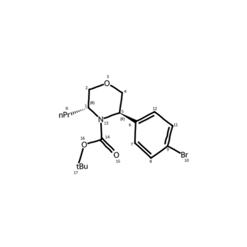 CCC[C@@H]1COC[C@@H](c2ccc(Br)cc2)N1C(=O)OC(C)(C)C